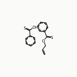 C=CCOC(=S)c1ccccc1.OC(=S)c1ccccc1